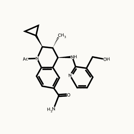 CC(=O)N1c2ccc(C(N)=O)cc2[C@H](Nc2ncccc2CO)[C@@H](C)[C@@H]1C1CC1